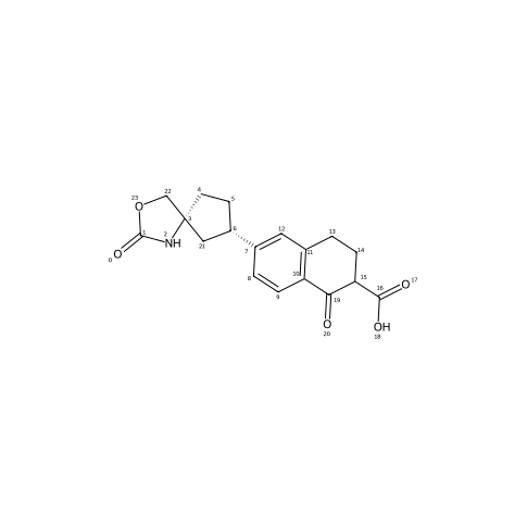 O=C1N[C@@]2(CC[C@H](c3ccc4c(c3)CCC(C(=O)O)C4=O)C2)CO1